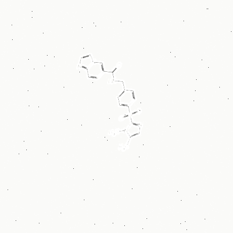 Cc1cnc(S(=O)(=O)c2ccc(CNC(=O)c3ccc4nccn4c3)cc2)n1C